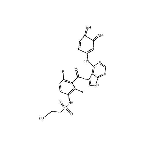 CCCS(=O)(=O)Nc1ccc(F)c(C(=O)c2c[nH]c3ncnc(NC4=CC(=N)C(=N)C=C4)c23)c1F